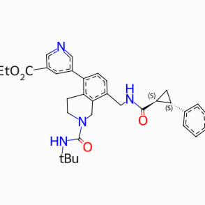 CCOC(=O)c1cncc(-c2ccc(CNC(=O)[C@H]3C[C@@H]3c3ccccc3)c3c2CCN(C(=O)NC(C)(C)C)C3)c1